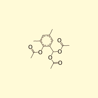 CC(=O)Oc1c(C)cc(C)cc1C(OC(C)=O)OC(C)=O